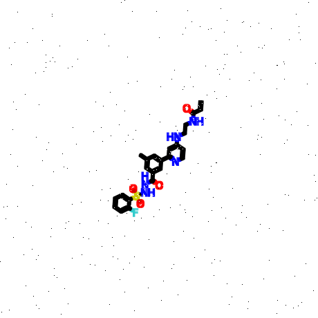 C=CC(=O)NCCNc1ccnc(-c2cc(C)cc(C(=O)NNS(=O)(=O)c3ccccc3F)c2)c1